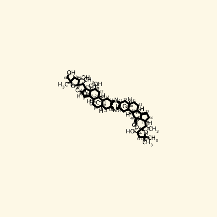 C[C@@H]1[C@]2(O[C@H]3C=C4[C@@H]5CC[C@H]6Cc7nc8c(nc7C[C@]6(C)[C@H]5C[C@@H](O)[C@]4(C)[C@]31O)C[C@@H]1CC[C@H]3C4=CC[C@@H]5[C@H](C)[C@@]6(OC[C@]45C(=O)C[C@@H]3[C@@]1(C)C8)OC(C)(C)C[C@H]6O)O[C@](C)(CO)C[C@H]2O